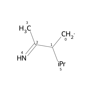 [CH2]C(C(C)=N)C(C)C